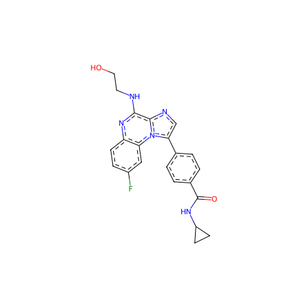 O=C(NC1CC1)c1ccc(-c2cnc3c(NCCO)nc4ccc(F)cc4n23)cc1